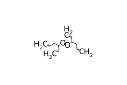 C=CCC(C=C)OOC(C=C)CC=C